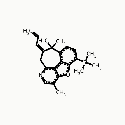 C=C/C=C1/Cc2ncc(C)c3oc4c([Si](C)(C)C)ccc(c4c23)C1(C)C